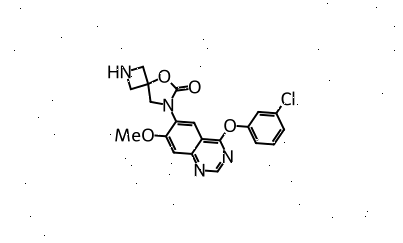 COc1cc2ncnc(Oc3cccc(Cl)c3)c2cc1N1CC2(CNC2)OC1=O